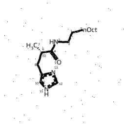 CCCCCCCCCCNC(=O)[C@@H](C)Cc1c[nH]cn1